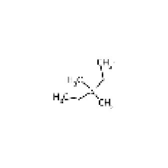 [CH2]C[Si](C)(C)CC